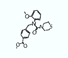 COC(=O)c1ccc(CN(C(=O)N2CCSCC2)c2ccccc2OC)cc1